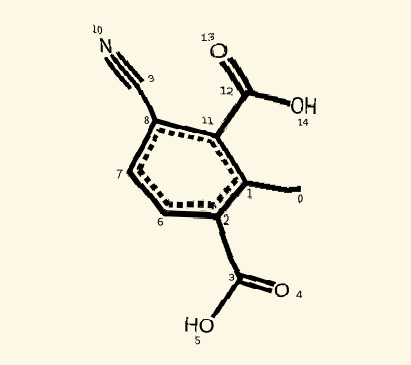 Cc1c(C(=O)O)ccc(C#N)c1C(=O)O